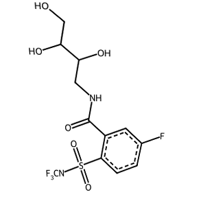 O=C(NCC(O)C(O)CO)c1cc(F)ccc1S(=O)(=O)NC(F)(F)F